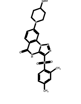 CNC1CCN(c2ccc3c(=O)[nH]c4c(S(=O)(=O)c5ccc(C)cc5C)nnn4c3c2)CC1